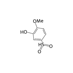 COc1ccc([SH](=O)=O)cc1O